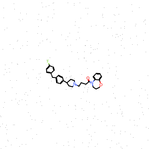 O=C(CCCN1CCC(c2ccc(Cc3ccc(F)cc3)cc2)CC1)N1CCCOc2ccccc21